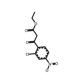 CCOC(=O)CC(=O)c1ccc([N+](=O)[O-])cc1Cl